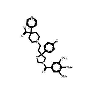 COc1cc(C(=O)N2COC(CCN3CCC(C(N)=O)(c4ccncc4)CC3)(c3ccc(Cl)cc3)C2)cc(OC)c1OC